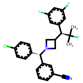 CC(C)(F)[C@H](c1cc(F)cc(F)c1)C1CN([C@@H](c2ccc(Cl)cc2)c2cccc(C#N)c2)C1